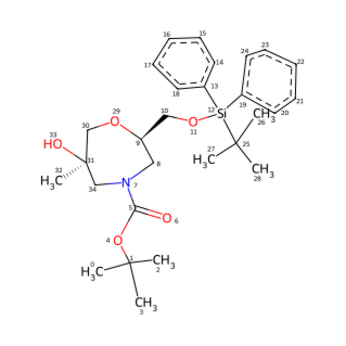 CC(C)(C)OC(=O)N1C[C@H](CO[Si](c2ccccc2)(c2ccccc2)C(C)(C)C)OC[C@](C)(O)C1